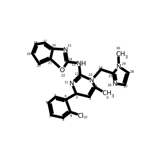 CC1=CC(c2ccccc2Cl)N=C(Nc2nc3ccccc3o2)N1Cc1nccn1C